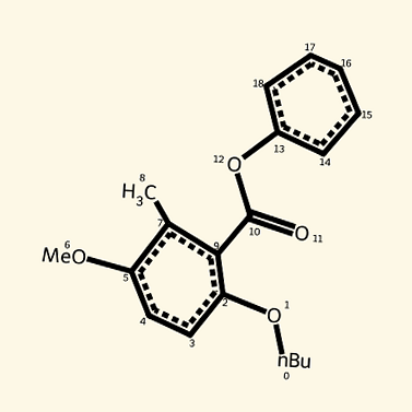 CCCCOc1ccc(OC)c(C)c1C(=O)Oc1ccccc1